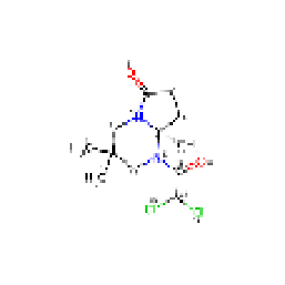 CC1(C)CN2C(=O)CC[C@@]2(C)N(C(=O)C(Cl)Cl)C1